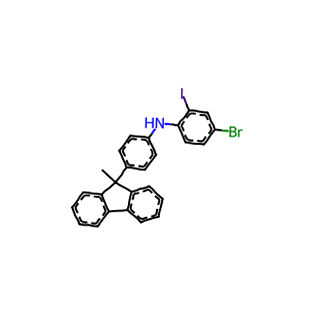 CC1(c2ccc(Nc3ccc(Br)cc3I)cc2)c2ccccc2-c2ccccc21